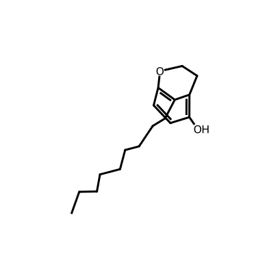 CCCCCCCCCc1c2ccc(O)c1CCO2